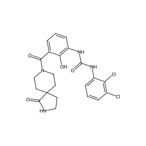 O=C(Nc1cccc(C(=O)N2CCC3(CCNC3=O)CC2)c1O)Nc1cccc(Cl)c1Cl